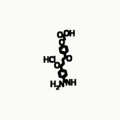 Cl.N=C(N)c1ccc(C(=O)CCC(=O)c2ccc(OCC(=O)O)cc2)cc1